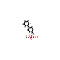 CCOP(=O)(O)Cc1ccc(-c2ccccc2)cc1